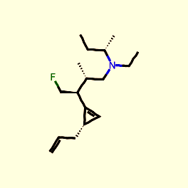 C=CC[C@H]1C=C1[C@@H](CF)[C@H](C)CN(CC)[C@@H](C)CC